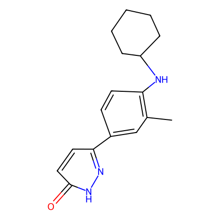 Cc1cc(-c2ccc(=O)[nH]n2)ccc1NC1CCCCC1